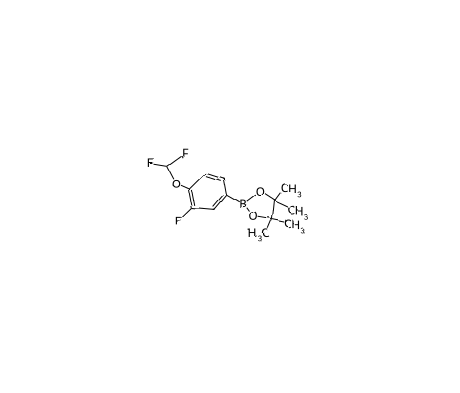 CC1(C)OB(c2ccc(OC(F)F)c(F)c2)OC1(C)C